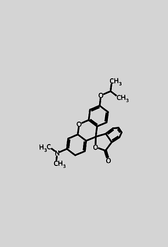 CC(C)Oc1ccc2c(c1)OC1C=C(N(C)C)CC=C1C21OC(=O)c2ccccc21